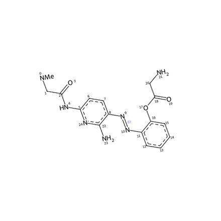 CNCC(=O)Nc1ccc(/N=N/c2ccccc2OC(=O)CN)c(N)n1